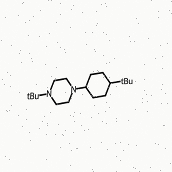 CC(C)(C)C1CCC(N2CCN(C(C)(C)C)CC2)CC1